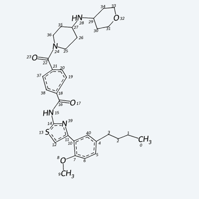 CCCCc1ccc(OC)c(-c2csc(NC(=O)c3ccc(C(=O)N4CCC(NC5CCOCC5)CC4)cc3)n2)c1